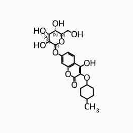 CC1CCC(Oc2c(O)c3ccc(O[C@@H]4O[C@H](CO)[C@@H](O)[C@H](O)[C@@H]4O)cc3oc2=O)CC1